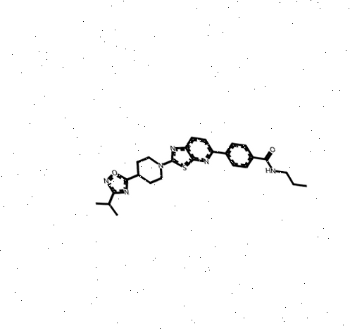 CCCNC(=O)c1ccc(-c2ccc3nc(N4CCC(c5nc(C(C)C)no5)CC4)sc3n2)cc1